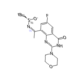 C/C(=N/[S@+]([O-])C(C)(C)C)c1cc(F)cc2c(=O)[nH]c(N3CCOCC3)nc12